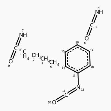 C.C.C.C.N=C=O.N=C=O.O=C=Nc1ccccc1